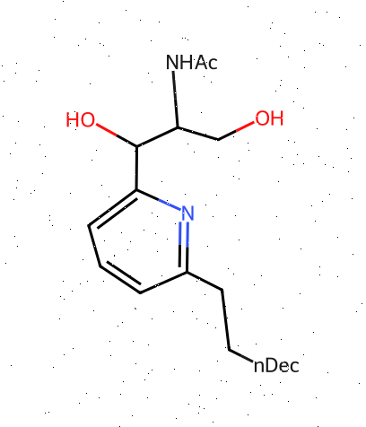 CCCCCCCCCCCCc1cccc(C(O)C(CO)NC(C)=O)n1